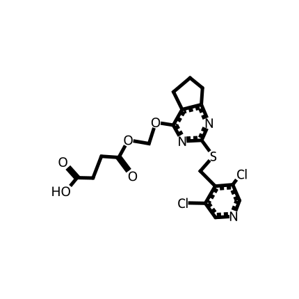 O=C(O)CCC(=O)OCOc1nc(SCc2c(Cl)cncc2Cl)nc2c1CCC2